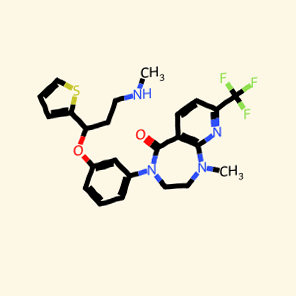 CNCCC(Oc1cccc(N2CCN(C)c3nc(C(F)(F)F)ccc3C2=O)c1)c1cccs1